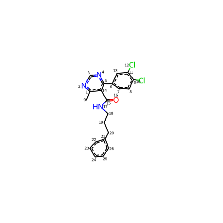 Cc1ncnc(-c2ccc(Cl)c(Cl)c2)c1C(=O)NCCCc1ccccc1